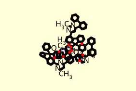 C/C=C\C(=C(/C)c1cccc2c1Oc1ccccc1C21c2ccccc2-c2ccc(-c3nc(C)cc(-c4ccc(Cc5ccnc(-c6cccc(-c7ccccc7-c7ccc8c(c7)C7(c9ccccc9O8)c8ccccc8-c8c(-c9cc(-c%10ccccc%10-c%10ccccc%10)nc(C)n9)cccc87)c6)c5)cc4-c4ccccc4)n3)cc21)c1cccc(-c2cncc(C)c2)c1